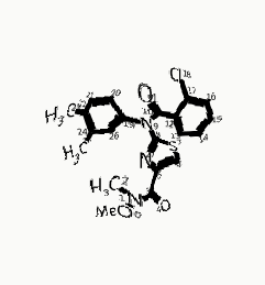 CON(C)C(=O)c1csc(N(C(=O)c2ccccc2Cl)c2ccc(C)c(C)c2)n1